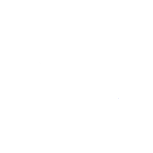 CCCCCCCCCCCCCOCC([NH])=O